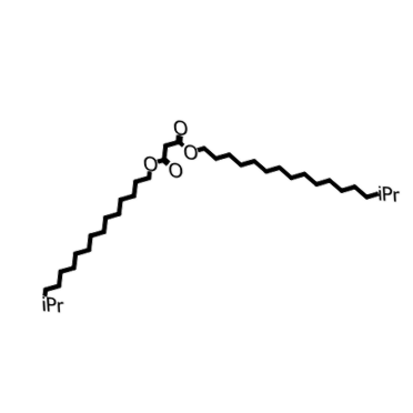 CC(C)CCCCCCCCCCCCCCOC(=O)CC(=O)OCCCCCCCCCCCCCCC(C)C